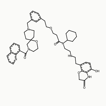 O=C1COc2c(CCNCCN(C(=O)CCOCCc3cccc(CN4CCC5(CC4)CN(C(=O)c4cccc6cccnc46)CCO5)c3)C3CCCCC3)ccc(O)c2N1